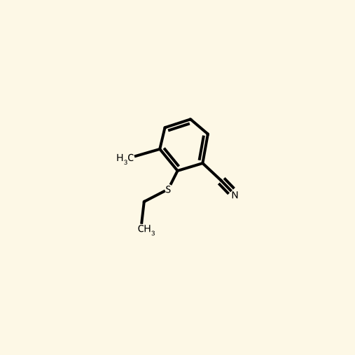 CCSc1c(C)cccc1C#N